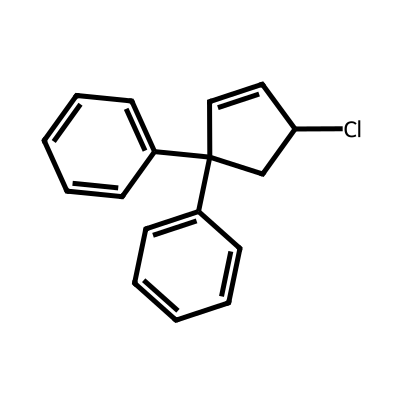 ClC1C=CC(c2ccccc2)(c2ccccc2)C1